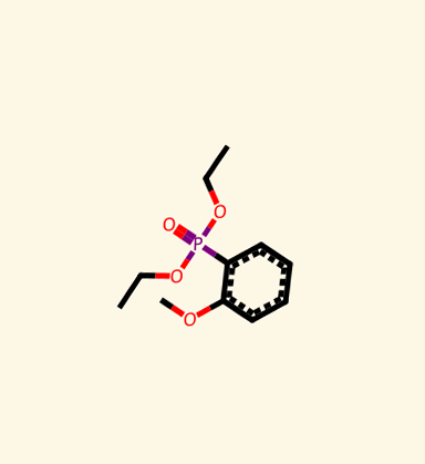 CCOP(=O)(OCC)c1ccccc1OC